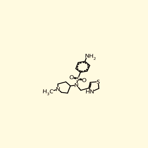 CN1CCC(N(CC2=CSCN2)S(=O)(=O)c2ccc(N)cc2)CC1